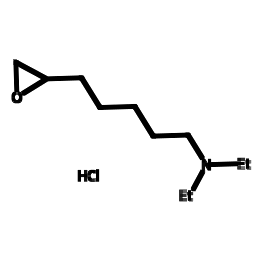 CCN(CC)CCCCCC1CO1.Cl